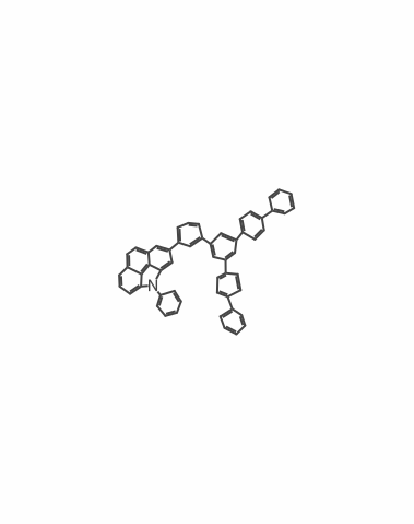 c1ccc(-c2ccc(-c3cc(-c4ccc(-c5ccccc5)cc4)cc(-c4cccc(-c5cc6ccc7cccc8c7c6c(c5)n8-c5ccccc5)c4)c3)cc2)cc1